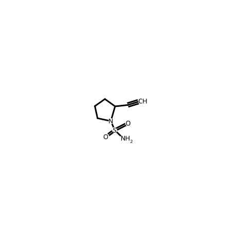 C#CC1CCCN1S(N)(=O)=O